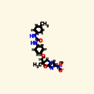 Cc1ccc(NC(=O)Nc2ccc(OCC3(C)Cn4cc([N+](=O)[O-])nc4O3)cc2)cc1